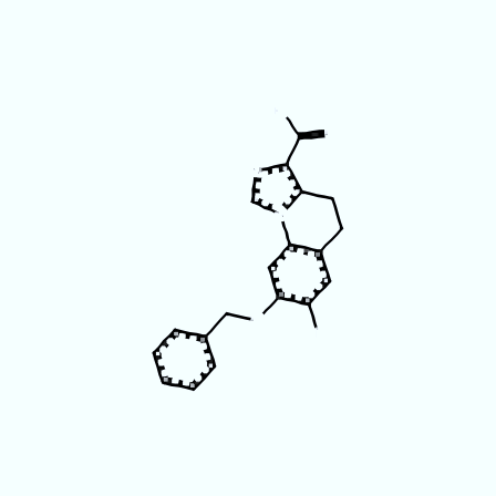 O=C(O)c1ncn2c1CCc1cc(F)c(OCc3ccccc3)cc1-2